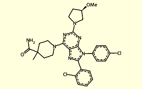 CO[C@@H]1CCN(c2nc(N3CCC(C)(C(N)=O)CC3)c3nc(-c4ccccc4Cl)n(-c4ccc(Cl)cc4)c3n2)C1